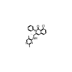 Cc1ncc(C)c(N[C@H](C)c2cc3cccc(Cl)c3c(=O)n2-c2ccccc2)n1